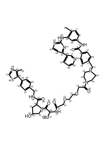 Cc1ccc(NC(=O)c2ccc(CN3CCN(C(=O)COCCOCC(=O)NC(C(=O)N4CC(O)CC4C(=O)NCc4ccc(-c5scnc5C)cc4)C(C)(C)C)CC3)cc2)cc1Nc1nccc(-c2cccnc2)n1